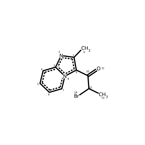 Cc1nc2ccccn2c1C(=O)C(C)Br